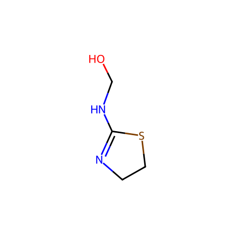 OCNC1=NCCS1